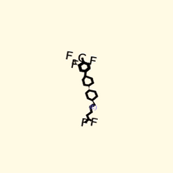 Fc1cc(C2CCC([C@H]3CC[C@H](/C=C/CCC(F)F)CC3)CC2)cc(F)c1C(F)(F)F